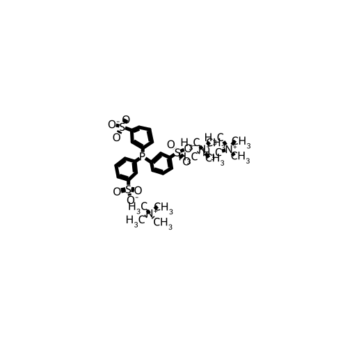 C[N+](C)(C)C.C[N+](C)(C)C.C[N+](C)(C)C.O=S(=O)([O-])c1cccc(P(c2cccc(S(=O)(=O)[O-])c2)c2cccc(S(=O)(=O)[O-])c2)c1